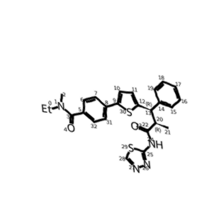 CCN(C)C(=O)c1ccc(-c2ccc([C@@H](c3ccccc3)[C@@H](C)C(=O)Nc3nncs3)s2)cc1